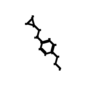 CCCc1ccc(OCC2CS2)cc1